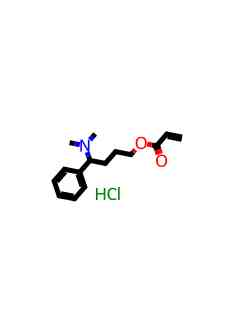 C=CC(=O)OCCCC(c1ccccc1)N(C)C.Cl